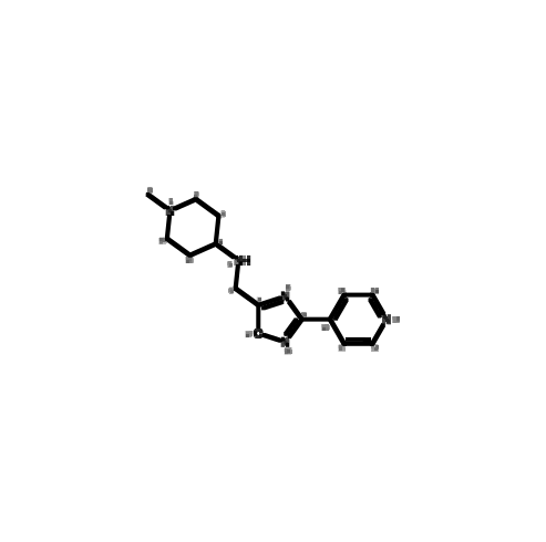 CN1CCC(NCc2nc(-c3ccncc3)no2)CC1